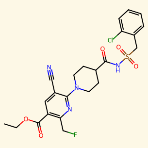 CCOC(=O)c1cc(C#N)c(N2CCC(C(=O)NS(=O)(=O)Cc3ccccc3Cl)CC2)nc1CF